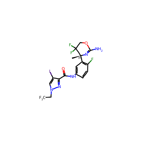 C[C@]1(c2cc(NC(=O)c3nn(CC(F)(F)F)cc3I)ccc2F)N=C(N)OCC1(F)F